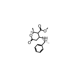 COC(=O)C1C(N[C@H](C)c2ccccc2)CC(=O)O[C@H]1C